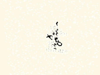 C=CCNC(=O)C(=O)C(CCCC)NC(=O)[C@@H]1C2C(CN1C(=O)[C@@H](NC(=O)N[C@H](COC)C(C)(C)C)C1(C)CCCCC1)C2(C)C